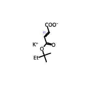 CCC(C)(C)OC(=O)/C=C/C(=O)[O-].[K+]